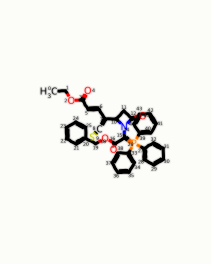 CCOC(=O)C=CC(=C=S)C1CC(=O)N1C(C(=O)OCc1ccccc1)=P(c1ccccc1)(c1ccccc1)c1ccccc1